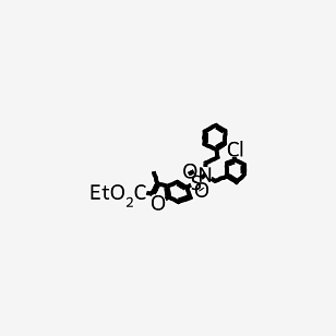 CCOC(=O)c1oc2ccc(S(=O)(=O)N(CCc3ccccc3)Cc3cccc(Cl)c3)cc2c1C